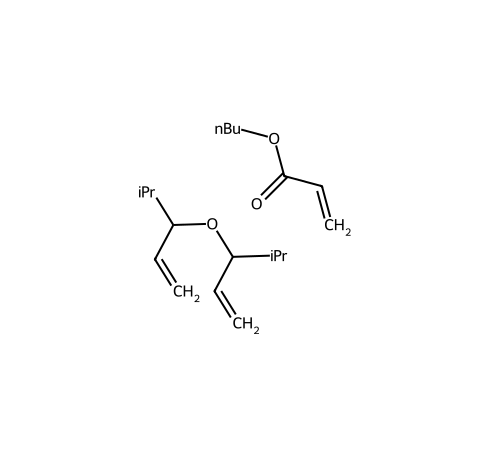 C=CC(=O)OCCCC.C=CC(OC(C=C)C(C)C)C(C)C